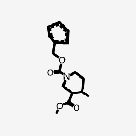 COC(=O)C1CN(C(=O)OCc2ccccc2)CCC1C